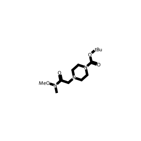 CON(C)C(=O)CN1CCN(C(=O)OC(C)(C)C)CC1